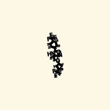 CC(C#N)(COc1csc(C(F)(F)F)c1)NC(=O)c1ccc(C(F)(F)F)cc1